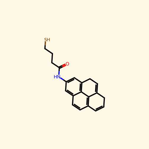 O=C(CCCS)Nc1cc2c3c4c(ccc3c1)C=CCC4=CC2